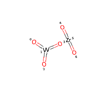 [O]=[W](=[O])=[O].[O]=[Zr]=[O]